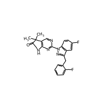 CC1(C)C(=O)Nc2nc(-n3nc(Cc4ccccc4F)c4cc(F)ccc43)ncc21